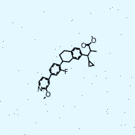 COC(=O)C(C)C(c1ccc2c(c1)CC(c1ccc(-c3ccnc(OC)c3)cc1F)CC2)C1CC1